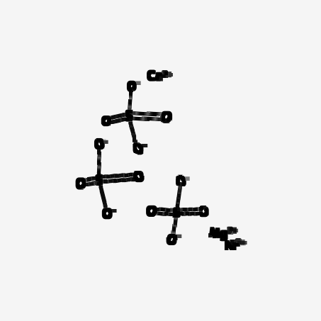 O=S(=O)([O-])[O-].O=S(=O)([O-])[O-].O=S(=O)([O-])[O-].[Ca+2].[Mg+2].[Ni+2]